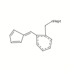 CCCCCCCCc1ccccc1C=C1C=CC=C1